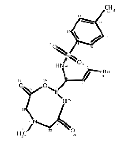 CCCCC=CC(NS(=O)(=O)c1ccc(C)cc1)B1OC(=O)CN(C)CC(=O)O1